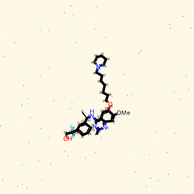 COc1cc2nc(C)nc(N[C@H](C)c3cccc(C(F)(F)CO)c3)c2cc1OCCCCCCCN1CCCCC1